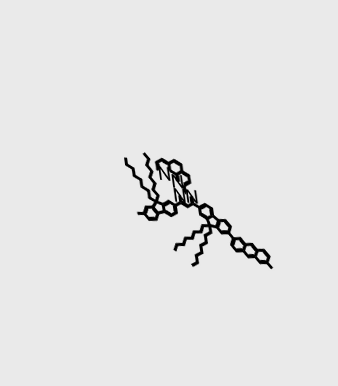 CCCCCCCCC1(CCCCCCCC)c2cc(C)ccc2-c2ccc(-c3cc(-c4ccc5c(c4)C(CCCCCCCC)(CCCCCCCC)c4cc(-c6ccc7cc8cc(C)ccc8cc7c6)ccc4-5)nc(-c4ccc5ccc6cccnc6c5n4)n3)cc21